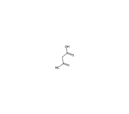 C=C(C#N)CC(O)=S